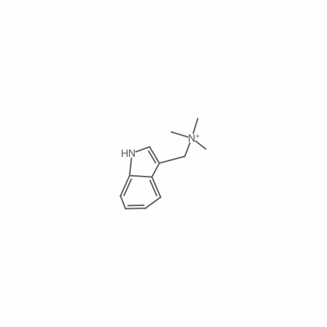 C[N+](C)(C)Cc1c[nH]c2ccccc12